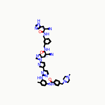 Cc1ccc(NC(=O)c2ccc(CN3CCN(C)CC3)cc2)cc1Nc1nccc(-c2ccc(N3C=NCC3/C=C(/C#N)C(=O)NCc3cccc(CNC(=O)/C(C#N)=C\c4cnc[nH]4)c3)nc2)n1